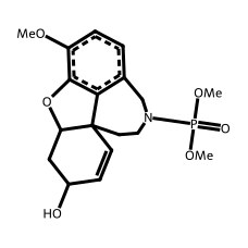 COc1ccc2c3c1OC1CC(O)C=CC31CCN(P(=O)(OC)OC)C2